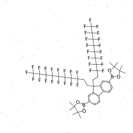 CC1(C)OB(c2ccc3c(c2)C(CCC(F)(F)C(F)(F)C(F)(F)C(F)(F)C(F)(F)C(F)(F)C(F)(F)C(F)(F)F)(CCC(F)(F)C(F)(F)C(F)(F)C(F)(F)C(F)(F)C(F)(F)C(F)(F)C(F)(F)F)c2cc(B4OC(C)(C)C(C)(C)O4)ccc2-3)OC1(C)C